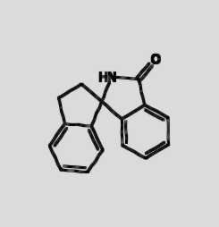 O=C1NC2(CCc3ccccc32)c2ccccc21